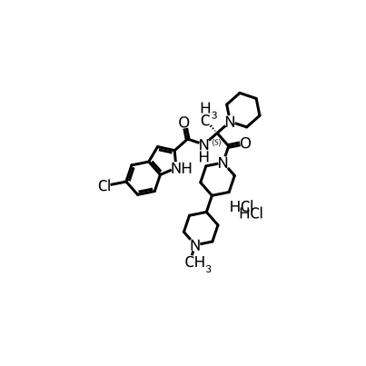 CN1CCC(C2CCN(C(=O)[C@@](C)(NC(=O)c3cc4cc(Cl)ccc4[nH]3)N3CCCCC3)CC2)CC1.Cl.Cl